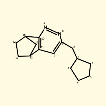 c1c(CC2CCCC2)nnc2c1C1CCC2C1